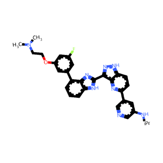 CC(C)Nc1cncc(-c2ccc3[nH]nc(-c4nc5c(-c6cc(F)cc(OCCN(C)C)c6)cccc5[nH]4)c3n2)c1